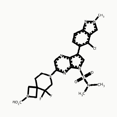 CN(C)S(=O)(=O)n1cc(-c2ccc3nn(C)cc3c2Cl)c2ncc(N3CCC4(CN(C(=O)O)C4)C(F)(F)C3)nc21